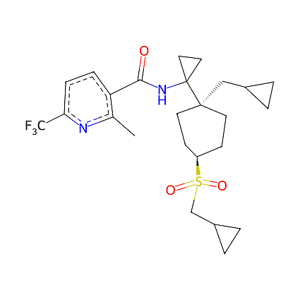 Cc1nc(C(F)(F)F)ccc1C(=O)NC1([C@]2(CC3CC3)CC[C@H](S(=O)(=O)CC3CC3)CC2)CC1